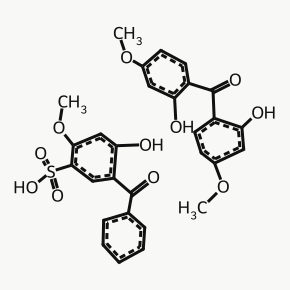 COc1cc(O)c(C(=O)c2ccccc2)cc1S(=O)(=O)O.COc1ccc(C(=O)c2ccc(OC)cc2O)c(O)c1